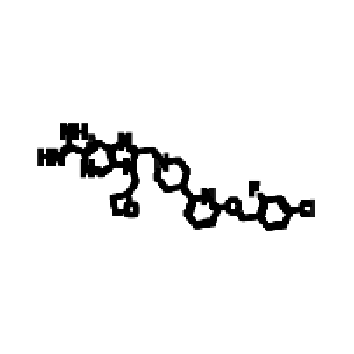 N=C(N)c1cc2nc(CN3CCC(c4cccc(OCc5ccc(Cl)cc5F)n4)CC3)n(CC3CCO3)c2cn1